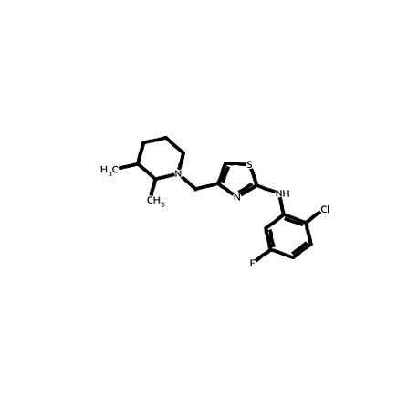 CC1CCCN([C]c2csc(Nc3cc(F)ccc3Cl)n2)C1C